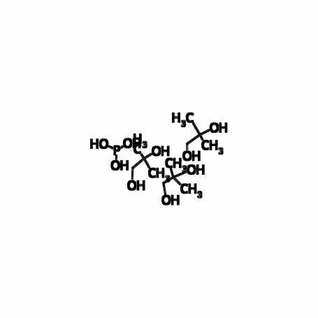 CC(C)(O)CO.CC(C)(O)CO.CC(C)(O)CO.OP(O)O